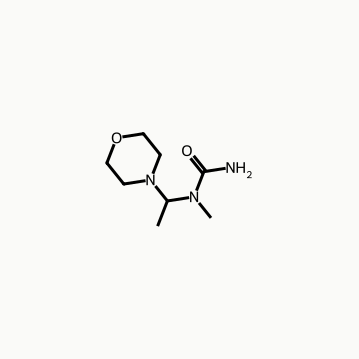 CC(N1CCOCC1)N(C)C(N)=O